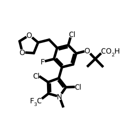 Cn1c(Cl)c(-c2cc(OC(C)(C)C(=O)O)c(Cl)c(CC3COCO3)c2F)c(Cl)c1C(F)(F)F